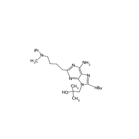 CCCCc1nc2c(N)nc(CCCCN(C)C(C)C)nc2n1CC(C)(C)O